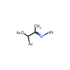 CCC/N=C(\C)C(OC(C)=O)C(C)=O